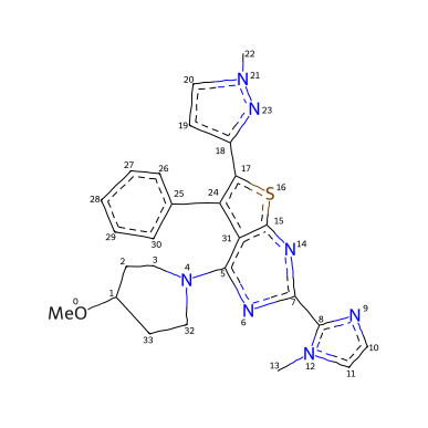 COC1CCN(c2nc(-c3nccn3C)nc3sc(-c4ccn(C)n4)c(-c4ccccc4)c23)CC1